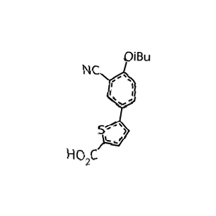 CC(C)COc1ccc(-c2ccc(C(=O)O)s2)cc1C#N